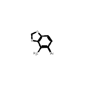 CC(=O)c1ccc2c(c1C)OCO2